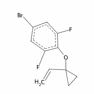 C=CC1(Oc2c(F)cc(Br)cc2F)CC1